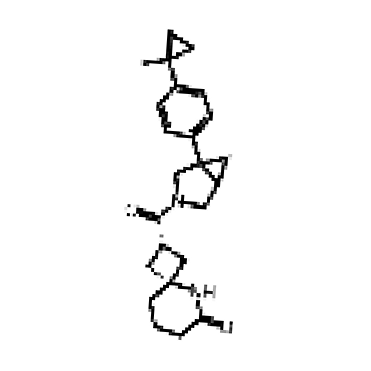 CC1(c2ccc(C34CC3CN(C(=O)[C@H]3C[C@]5(CCCC(=O)N5)C3)C4)cc2)CC1